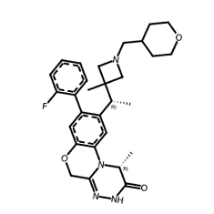 C[C@@H]1C(=O)NN=C2COc3cc(-c4ccccc4F)c([C@@H](C)C4(C)CN(CC5CCOCC5)C4)cc3N21